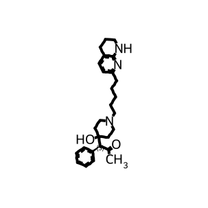 CC(=O)[C@@H](c1ccccc1)C1(O)CCN(CCCCCc2ccc3c(n2)NCCC3)CC1